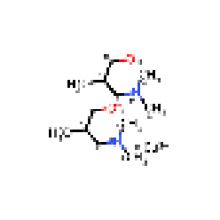 CC(C[O-])CN(C)C.CC(C[O-])CN(C)C.[Cu+2]